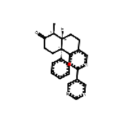 C[C@@H]1C(=O)CC[C@]2(c3ccccc3)c3nc(-c4cncnc4)ncc3CC[C@@H]12